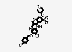 CN1CCC(Oc2cc3ncc(C#N)c(Nc4ccc(OCc5ccc(Cl)cc5)c(Cl)c4)c3cc2[N+](=O)[O-])CC1